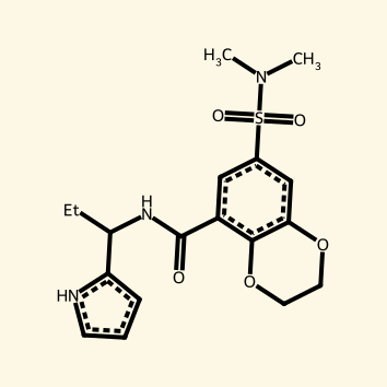 CCC(NC(=O)c1cc(S(=O)(=O)N(C)C)cc2c1OCCO2)c1ccc[nH]1